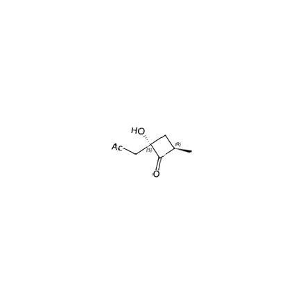 CC(=O)C[C@@]1(O)C[C@@H](C)C1=O